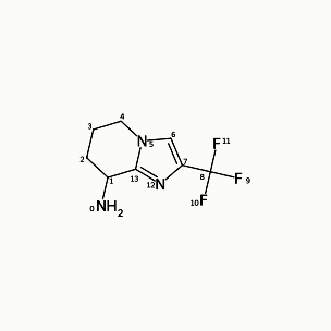 NC1CCCn2cc(C(F)(F)F)nc21